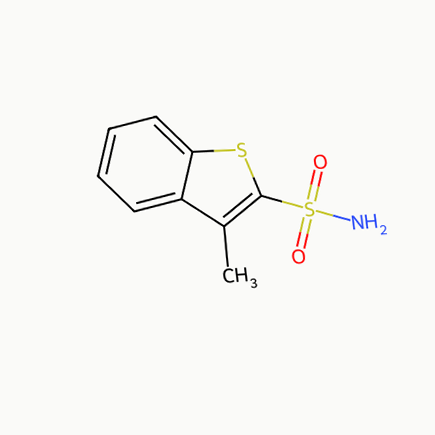 Cc1c(S(N)(=O)=O)sc2ccccc12